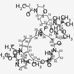 C=CC(=O)N1CCOC2(CCC(F)(C(=O)N(C)[C@H](C(=O)NC(CC)[C@H]3Cc4nc(cs4)-c4ccc5c(c4)c(c(-c4cccnc4[C@H](C)OC)n5CC)CC(C)(C)COC(=O)[C@@H]4CCCN(N4)C3=O)C(C)C)CC2)C1